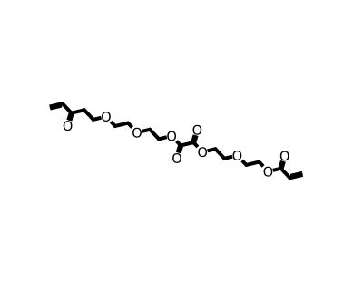 C=CC(=O)CCOCCOCCOC(=O)C(=O)OCCOCCOC(=O)C=C